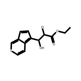 CCOC(=O)C(Cl)C(O)c1ccc2csccc1-2